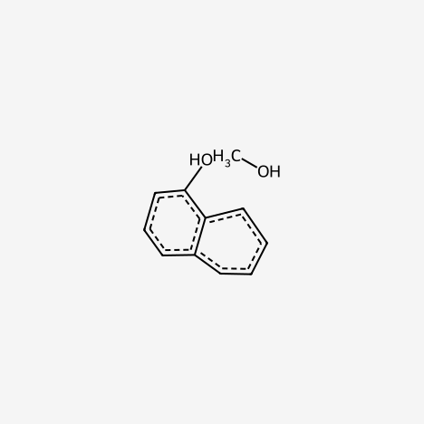 CO.Oc1cccc2ccccc12